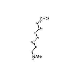 CNCCOCCOCC=O